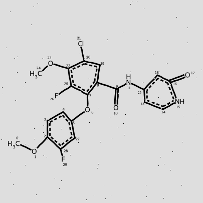 COc1ccc(Oc2c(C(=O)Nc3cc[nH]c(=O)c3)cc(Cl)c(OC)c2F)cc1F